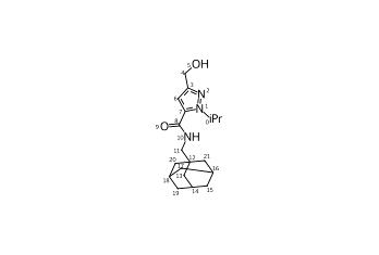 CC(C)n1nc(CO)cc1C(=O)NCC12CC3CC(CC(C3)C1)C2